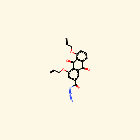 C=CCOc1cccc2c1C(=O)c1c(OCC=C)cc(C(=O)N=[N+]=[N-])cc1C2=O